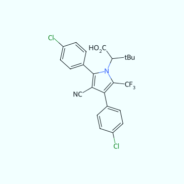 CC(C)(C)C(C(=O)O)n1c(-c2ccc(Cl)cc2)c(C#N)c(-c2ccc(Cl)cc2)c1C(F)(F)F